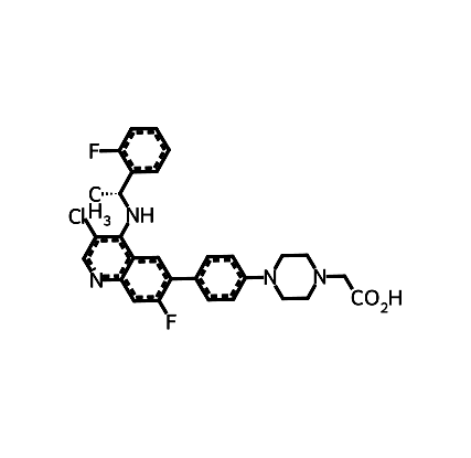 C[C@@H](Nc1c(Cl)cnc2cc(F)c(-c3ccc(N4CCN(CC(=O)O)CC4)cc3)cc12)c1ccccc1F